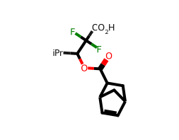 CC(C)C(OC(=O)C1CC2C=CC1C2)C(F)(F)C(=O)O